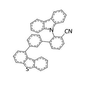 N#Cc1cccc(-c2cccc(-c3cccc4sc5ccccc5c34)c2)c1-n1c2ccccc2c2ccccc21